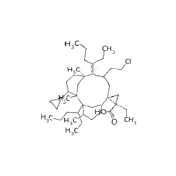 CCC/C(CC)=C1/C(CCCl)CC2(CC2(CC)C(=O)O)C2CCC(C)C(C(CC)CCC)(C2)C2(C)CC1(C)CCC2C1CC1